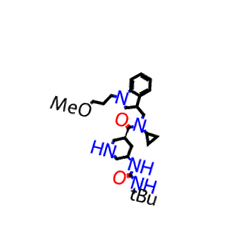 COCCCN1CC(CN(C(=O)[C@@H]2CNC[C@H](NC(=O)NC(C)(C)C)C2)C2CC2)c2ccccc21